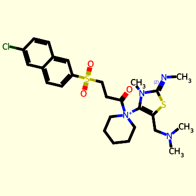 C/N=c1\sc(CN(C)C)c([N+]2(C(=O)CCS(=O)(=O)c3ccc4cc(Cl)ccc4c3)CCCCC2)n1C